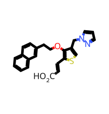 O=C(O)C=Cc1scc(Cn2cccn2)c1OCCc1ccc2ccccc2c1